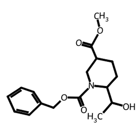 COC(=O)C1CCC(C(C)O)N(C(=O)OCc2ccccc2)C1